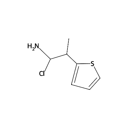 CC(c1cccs1)C(N)Cl